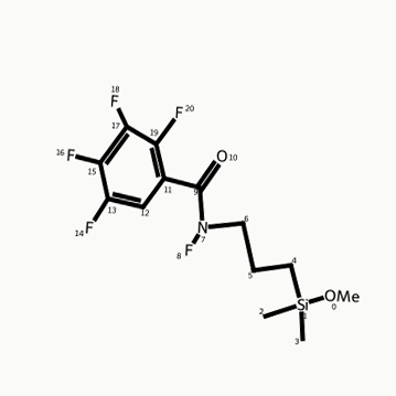 CO[Si](C)(C)CCCN(F)C(=O)c1cc(F)c(F)c(F)c1F